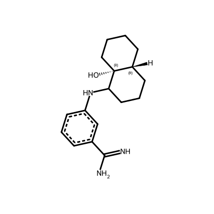 N=C(N)c1cccc(NC2CCC[C@H]3CCCC[C@]23O)c1